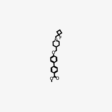 COC(=O)c1ccc(-c2ccc(OCC3CCN(CC4(F)CCC4)CC3)cc2)cc1